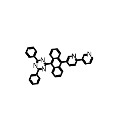 c1ccc(-c2nc(-c3ccccc3)nc(-c3c4ccccc4c(-c4ccc(-c5cccnc5)nc4)c4ccccc34)n2)cc1